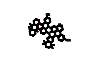 CC(C)(C)c1ccc(N2c3cc(N4c5ccccc5C(C)(C)C5(C)CCCCC45C)ccc3B3c4cc5c(cc4N(c4ccc(C(C)(C)C)cc4-c4ccccc4)c4cc(C(C)(C)C)cc2c43)C(C)(C)CCC5(C)C)c(-c2ccccc2)c1